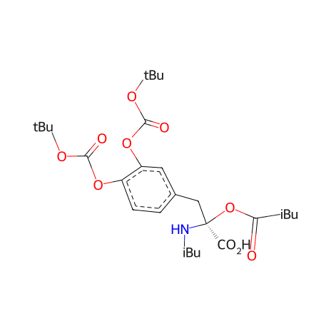 CCC(C)N[C@@](Cc1ccc(OC(=O)OC(C)(C)C)c(OC(=O)OC(C)(C)C)c1)(OC(=O)C(C)CC)C(=O)O